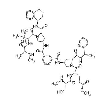 CN[C@@H](C)C(=O)NC(C(=O)N1C[C@@H](NC(=O)c2cccc(C(=O)N[C@H]3C[C@@H](C(=O)N[C@H](C)c4ccccc4)N(C(=O)[C@H](CCC(=O)OC)NC(=O)[C@H](CO)NC)C3)c2)C[C@H]1C(=O)N[C@@H]1CCCc2ccccc21)C(C)(C)C